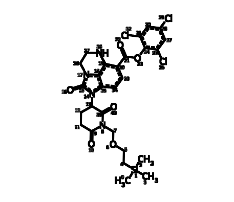 C[Si](C)(C)CCOCN1C(=O)CCC(n2c(=O)n3c4c(c(C(=O)Oc5c(Cl)cc(Cl)cc5Cl)ccc42)NCC3)C1=O